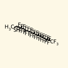 CC(S)CC(F)(F)C(F)(F)C(F)(F)C(F)(F)C(F)(F)C(F)(F)C(F)(F)C(F)(F)C(F)(F)C(F)(F)C(F)(F)C(F)(F)C(F)(F)C(F)(F)C(F)(F)C(F)(F)F